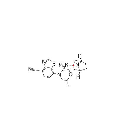 C[C@@H]1CN(c2ccc(C#N)c3ncsc23)C[C@H](CN2[C@@H]3CC[C@H]2CC(N)C3)O1